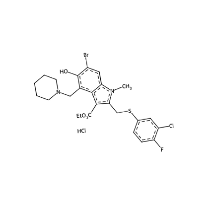 CCOC(=O)c1c(CSc2ccc(F)c(Cl)c2)n(C)c2cc(Br)c(O)c(CN3CCCCC3)c12.Cl